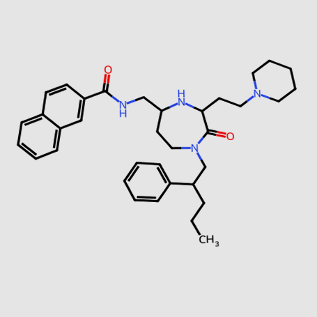 CCCC(CN1CCC(CNC(=O)c2ccc3ccccc3c2)NC(CCN2CCCCC2)C1=O)c1ccccc1